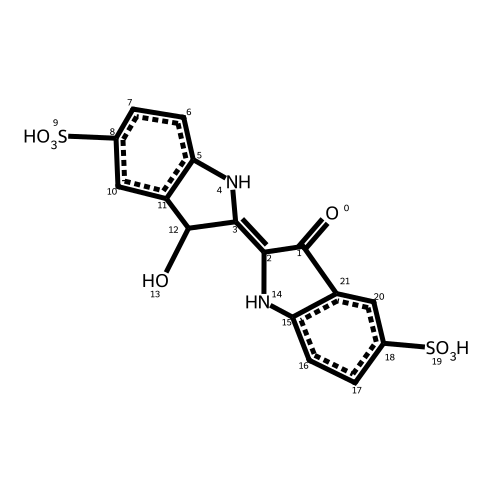 O=C1C(=C2Nc3ccc(S(=O)(=O)O)cc3C2O)Nc2ccc(S(=O)(=O)O)cc21